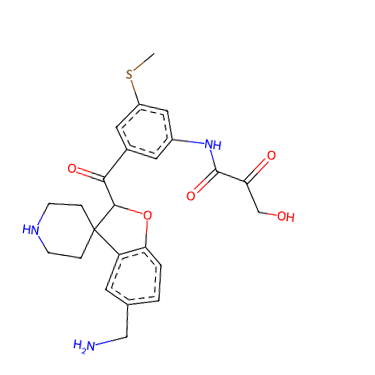 CSc1cc(NC(=O)C(=O)CO)cc(C(=O)C2Oc3ccc(CN)cc3C23CCNCC3)c1